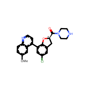 COc1ccc2nccc(-c3cc(Cl)cc4c3O[C@@H](C(=O)N3CCNCC3)C4)c2c1